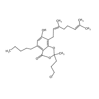 CCCCCc1cc(O)c(CC=C(C)CCC=C(C)C)c2c1C(=O)OC(C)(CCCCl)O2